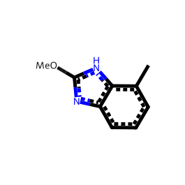 COc1nc2cccc(C)c2[nH]1